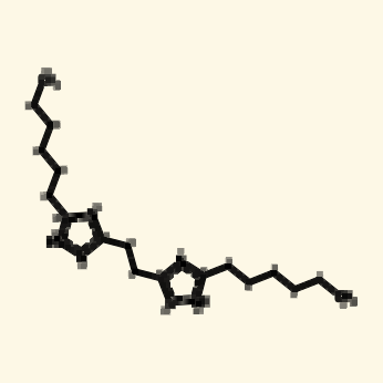 CCCCCCc1nc(CCc2n[nH]c(CCCCCC)n2)n[nH]1